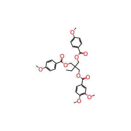 CCC(COC(=O)c1ccc(OC)cc1)(COC(=O)c1ccc(OC)cc1)COC(=O)c1ccc(OC)c(OC)c1